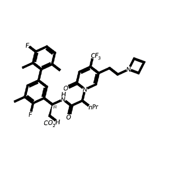 CCCC(C(=O)N[C@@H](CC(=O)O)c1cc(-c2c(C)ccc(F)c2C)cc(C)c1F)n1cc(CCN2CCC2)c(C(F)(F)F)cc1=O